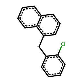 Clc1ccccc1[CH]c1cccc2ccccc12